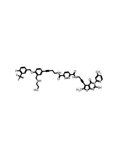 Cc1ccnc(-n2c(S)nc3sc(C)c(C#CCNC(=O)c4ccc(C(=O)NCCC#Cc5ccc(OCc6ccc(F)c(C(F)(F)F)c6)c(CNCCO)c5)nn4)c3c2=O)c1